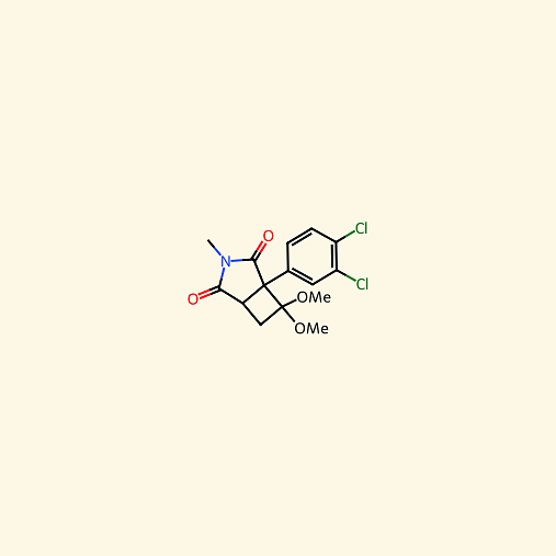 COC1(OC)CC2C(=O)N(C)C(=O)C21c1ccc(Cl)c(Cl)c1